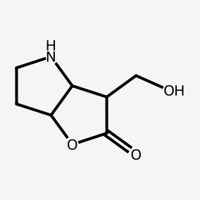 O=C1OC2CCNC2C1CO